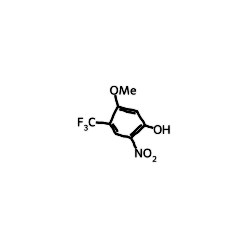 COc1cc(O)c([N+](=O)[O-])cc1C(F)(F)F